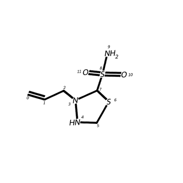 C=CCN1NCSC1S(N)(=O)=O